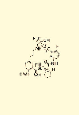 COc1ccc(CCCNCC(O)(C(F)(F)F)C(F)(F)F)cc1C(=O)N[C@H]1[C@@H](C(=O)Nc2ccc(F)c(C(F)(F)F)c2)[C@H]2CC[C@@H]1/C2=C\C(F)(F)F